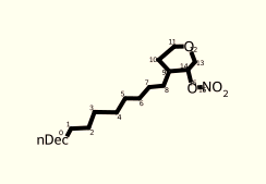 CCCCCCCCCCCCCCCCCCC1CCOCC1O[N+](=O)[O-]